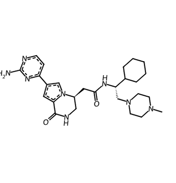 CN1CCN(C[C@H](NC(=O)C[C@H]2CNC(=O)c3cc(-c4ccnc(N)n4)cn32)C2CCCCC2)CC1